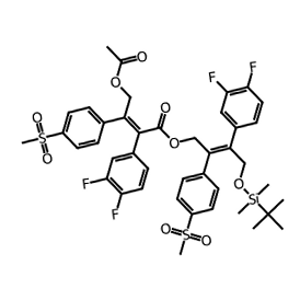 CC(=O)OCC(=C(C(=O)OCC(=C(CO[Si](C)(C)C(C)(C)C)c1ccc(F)c(F)c1)c1ccc(S(C)(=O)=O)cc1)c1ccc(F)c(F)c1)c1ccc(S(C)(=O)=O)cc1